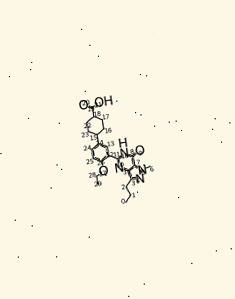 CCCc1nn(C)c2c(=O)[nH]c(-c3cc(C4CCC(C(=O)O)CC4)ccc3OCC)nc12